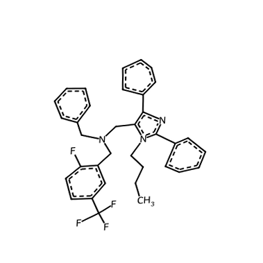 CCCCn1c(-c2ccccc2)nc(-c2ccccc2)c1CN(Cc1ccccc1)Cc1cc(C(F)(F)F)ccc1F